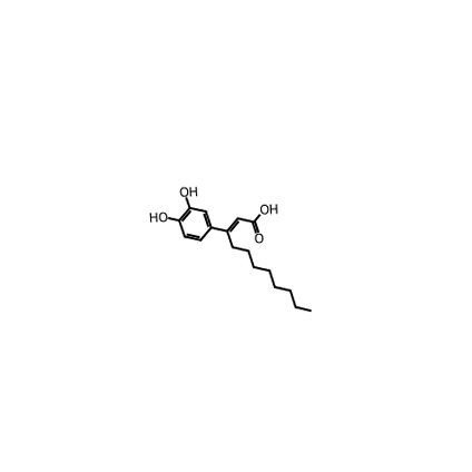 CCCCCCCCC(=CC(=O)O)c1ccc(O)c(O)c1